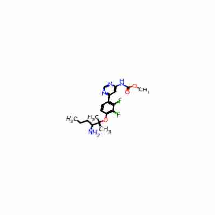 CCCC(N)C(C)(C)Oc1ccc(-c2cc(NC(=O)OC)ncn2)c(F)c1F